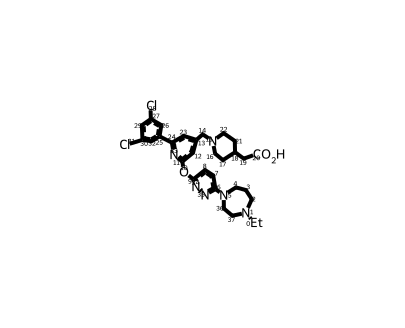 CCN1CCCN(c2ccc(Oc3cc(CN4CCC(CC(=O)O)CC4)cc(-c4cc(Cl)cc(Cl)c4)n3)nn2)CC1